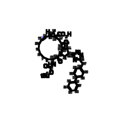 CC(C)(C)OC(=O)N[C@@H]1CCCCC/C=C\[C@@H]2C[C@]2(C(=O)O)CC(=O)[C@@H]2C[C@H](n3nnc(Cc4ccc(-c5ccccc5)cc4)n3)CN2C1=O